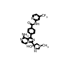 CN1CN[C@](O)(c2nc(-c3ccc(C(=O)Nc4cc(C(F)(F)F)ccn4)cc3)c3c(N)nccn23)C1